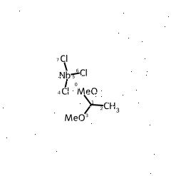 COC(C)OC.[Cl][Nb]([Cl])[Cl]